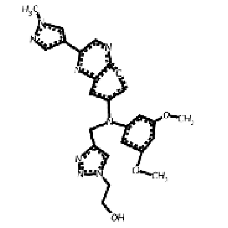 COc1cc(OC)cc(N(Cc2cn(CCO)nn2)c2ccc3ncc(-c4cnn(C)c4)nc3c2)c1